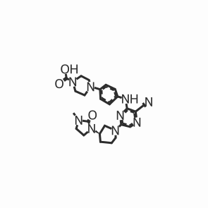 CN1CCN([C@@H]2CCCN(c3cnc(C#N)c(Nc4ccc(N5CCN(C(=O)O)CC5)cc4)n3)C2)C1=O